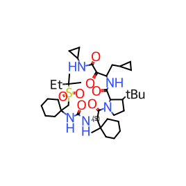 CCC(C)(C)S(=O)(=O)CC1(NC(=O)N[C@H](C(=O)N2CCC(C(C)(C)C)C2C(=O)NC(CC2CC2)C(=O)C(=O)NC2CC2)C2(C)CCCCC2)CCCCC1